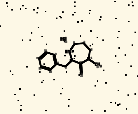 CN1CCCNC(Cc2ccccc2)C1=O.Cl